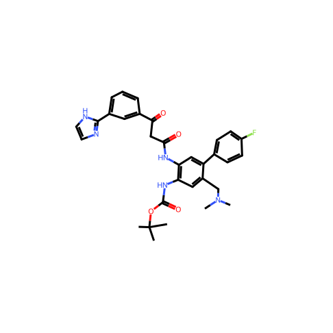 CN(C)Cc1cc(NC(=O)OC(C)(C)C)c(NC(=O)CC(=O)c2cccc(-c3ncc[nH]3)c2)cc1-c1ccc(F)cc1